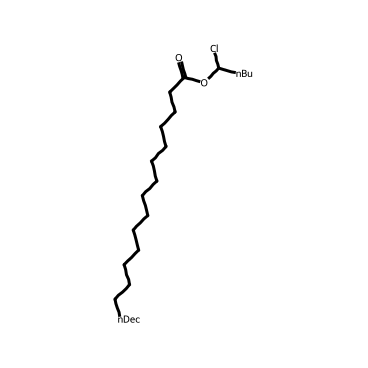 CCCCCCCCCCCCCCCCCCCCCCCC(=O)OC(Cl)CCCC